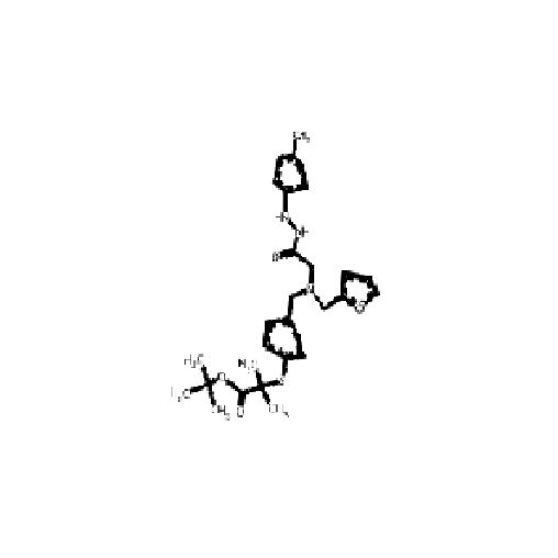 Cc1ccc(NNC(=O)CN(Cc2ccc(SC(C)(C)C(=O)OC(C)(C)C)cc2)Cc2ccco2)cc1